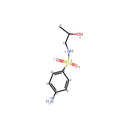 CC(O)CNS(=O)(=O)c1ccc(N)cc1